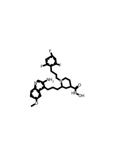 COc1ccc2ncc(N)c(CCCC3CC(C(=O)NO)CCN3CCCc3c(F)cc(F)cc3F)c2c1